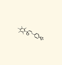 CCc1ccc(C/C=C\C(=O)c2c(C)c(C)c(C)c(C)c2C)cc1